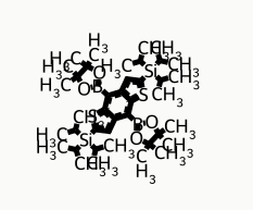 CC(C)[Si](c1cc2c(B3OC(C)(C)C(C)(C)O3)c3sc([Si](C(C)C)(C(C)C)C(C)C)cc3c(B3OC(C)(C)C(C)(C)O3)c2s1)(C(C)C)C(C)C